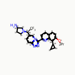 CC(C)Oc1ccc2ccc(-c3nnc4ccc([C@@H](N5CCC(N)C5)C(F)(F)F)cn34)nc2c1C1CC1